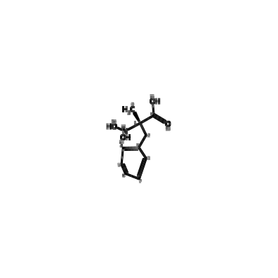 C[C@](Cc1ccccc1)(C(=O)O)N(O)O